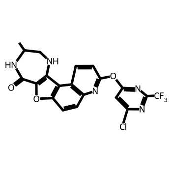 CC1CNc2c(oc3ccc4nc(Oc5cc(Cl)nc(C(F)(F)F)n5)ccc4c23)C(=O)N1